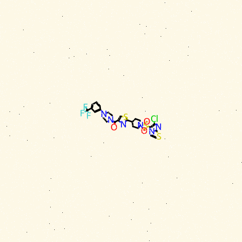 O=C(c1csc(C2CCN(S(=O)(=O)c3c(Cl)nc4sccn34)CC2)n1)N1CCN(c2cccc(C(F)(F)F)c2)CC1